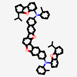 Cc1ccccc1N(c1ccc2cc3c(cc2c1)oc1c3ccc2oc3cc4cc(N(c5ccccc5C)c5cccc6c5oc5c(C(C)C)cccc56)ccc4cc3c21)c1cccc2c1oc1c(C(C)C)cccc12